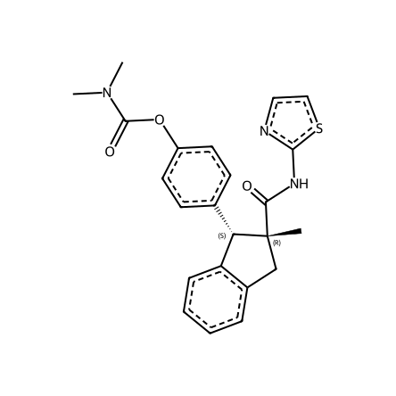 CN(C)C(=O)Oc1ccc([C@H]2c3ccccc3C[C@@]2(C)C(=O)Nc2nccs2)cc1